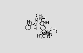 COc1cc2c3c([nH]c2cc1-n1c(C)nnc1C)NC(C)N=C3Nc1cnn2ccccc12